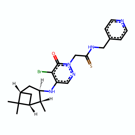 C[C@@H]1[C@H]2C[C@@H](C[C@H]1Nc1cnn(CC(=S)NCc3ccncc3)c(=O)c1Br)C2(C)C